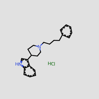 Cl.c1ccc(CCCCN2CCC(c3c[nH]c4ccccc34)CC2)cc1